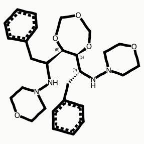 c1ccc(CC(NN2CCOCC2)[C@H]2OCOCO[C@H]2[C@@H](Cc2ccccc2)NN2CCOCC2)cc1